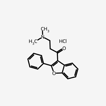 CN(C)CCC(=O)c1c(-c2ccccc2)oc2ccccc12.Cl